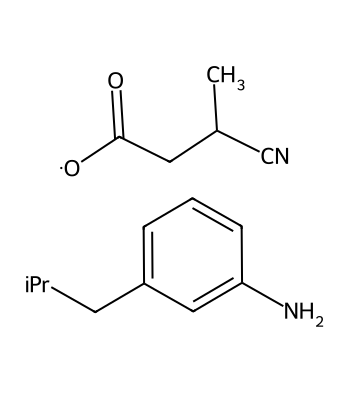 CC(C#N)CC([O])=O.CC(C)Cc1cccc(N)c1